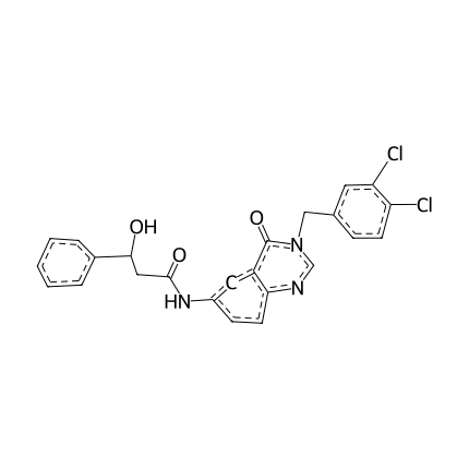 O=C(CC(O)c1ccccc1)Nc1ccc2ncn(Cc3ccc(Cl)c(Cl)c3)c(=O)c2c1